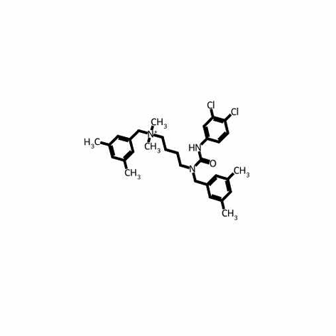 Cc1cc(C)cc(CN(CCCC[N+](C)(C)Cc2cc(C)cc(C)c2)C(=O)Nc2ccc(Cl)c(Cl)c2)c1